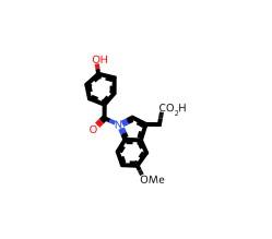 COc1ccc2c(c1)c(CC(=O)O)cn2C(=O)c1ccc(O)cc1